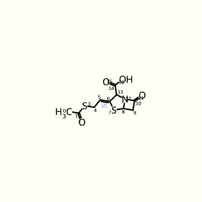 CC(=O)SC/C=C1\SC2CC(=O)N2C1C(=O)O